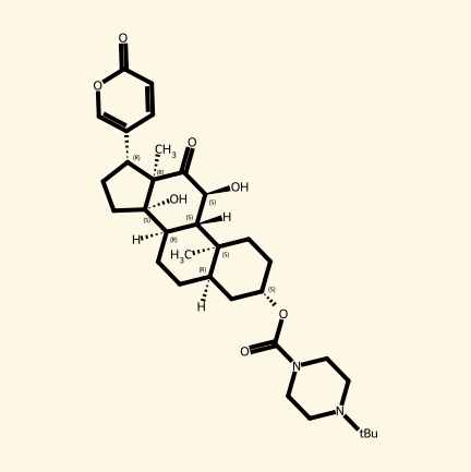 CC(C)(C)N1CCN(C(=O)O[C@H]2CC[C@@]3(C)[C@H](CC[C@@H]4[C@@H]3[C@H](O)C(=O)[C@]3(C)[C@@H](c5ccc(=O)oc5)CC[C@]43O)C2)CC1